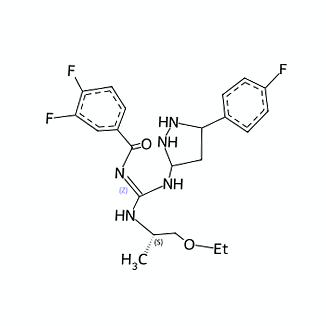 CCOC[C@H](C)N/C(=N/C(=O)c1ccc(F)c(F)c1)NC1CC(c2ccc(F)cc2)NN1